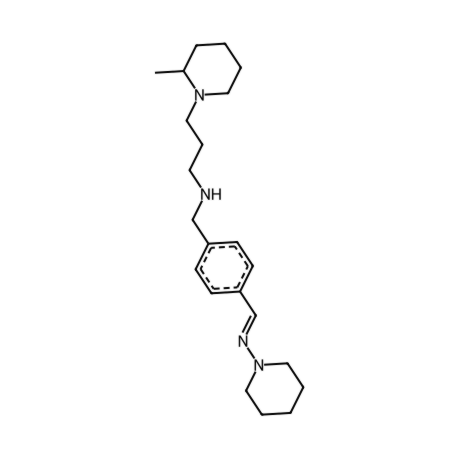 CC1CCCCN1CCCNCc1ccc(C=NN2CCCCC2)cc1